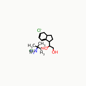 CC(C)(C)N.OCC(O)C1CCC2CC=CC=C21.[Cl-].[Cl-].[Ti+2]